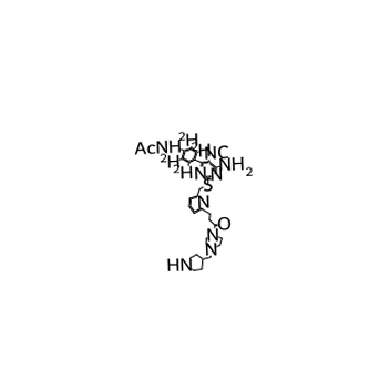 [2H]c1c([2H])c(-c2nc(SCc3cccc(CCC(=O)N4CCN(CC5CCNCC5)CC4)n3)nc(N)c2[N+]#[C-])c([2H])c([2H])c1NC(C)=O